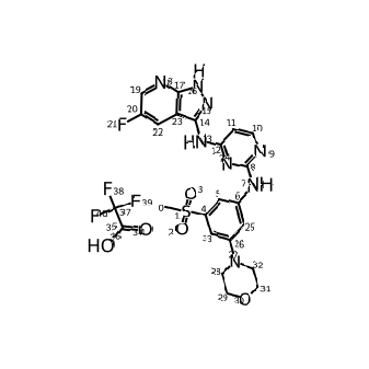 CS(=O)(=O)c1cc(Nc2nccc(Nc3n[nH]c4ncc(F)cc34)n2)cc(N2CCOCC2)c1.O=C(O)C(F)(F)F